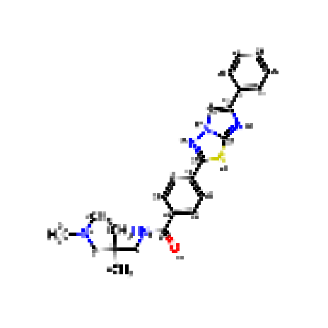 CN(C)CC(C)(C)CNC(=O)c1ccc(-c2nn3cc(-c4ccccc4)nc3s2)cc1